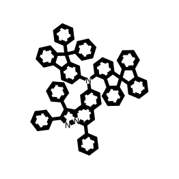 c1ccc(-c2nn3c(-c4ccccc4)cc4ccc(N(c5ccc6c(c5)C(c5ccccc5)(c5ccccc5)c5ccccc5-6)c5cccc6c5-c5ccccc5C65c6ccccc6-c6ccccc65)cc4c3c2-c2ccccc2)cc1